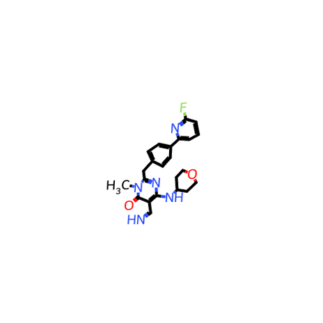 Cn1c(Cc2ccc(-c3cccc(F)n3)cc2)nc(NC2CCOCC2)c(C=N)c1=O